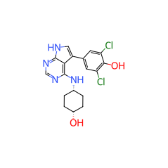 Oc1c(Cl)cc(-c2c[nH]c3ncnc(N[C@H]4CC[C@@H](O)CC4)c23)cc1Cl